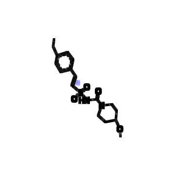 CCc1ccc(/C=C/S(=O)(=O)NC(=O)N2CCC(OC)CC2)cc1